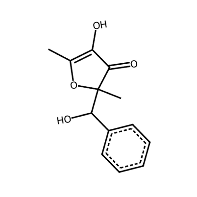 CC1=C(O)C(=O)C(C)(C(O)c2ccccc2)O1